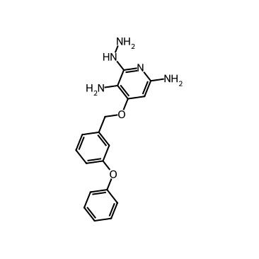 NNc1nc(N)cc(OCc2cccc(Oc3ccccc3)c2)c1N